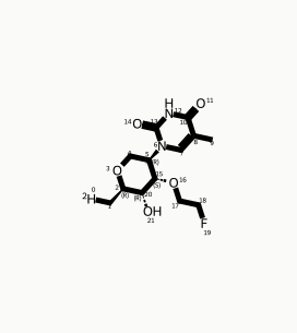 [2H]C[C@H]1OC[C@@H](n2cc(C)c(=O)[nH]c2=O)[C@H](OCCF)[C@@H]1O